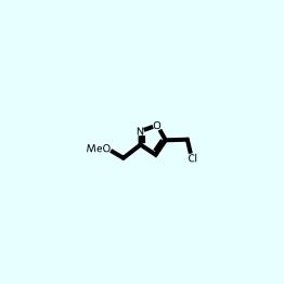 COCc1cc(CCl)on1